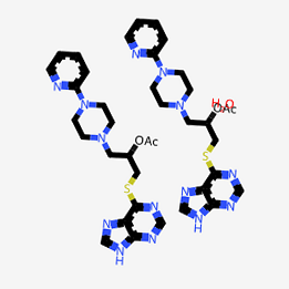 CC(=O)OC(CSc1ncnc2[nH]cnc12)CN1CCN(c2ccccn2)CC1.CC(=O)OC(CSc1ncnc2[nH]cnc12)CN1CCN(c2ccccn2)CC1.O